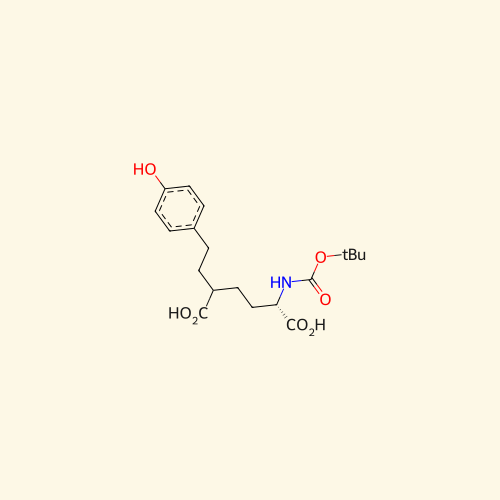 CC(C)(C)OC(=O)N[C@@H](CCC(CCc1ccc(O)cc1)C(=O)O)C(=O)O